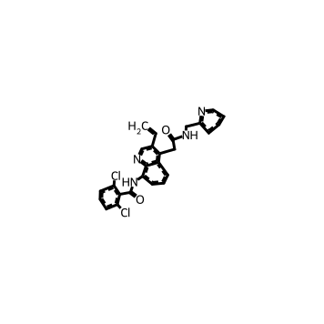 C=Cc1cnc2c(NC(=O)c3c(Cl)cccc3Cl)cccc2c1CC(=O)NCc1ccccn1